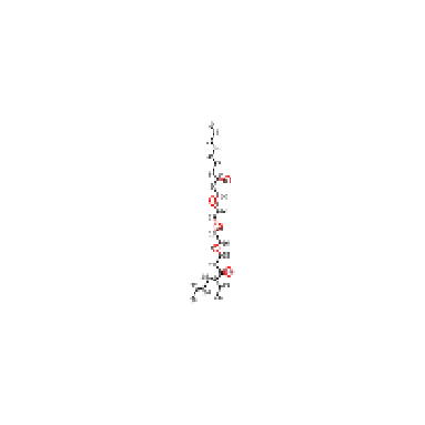 CCCCCCCC(=O)CCOCCOCCOCCC(=O)C(CC)CCCC